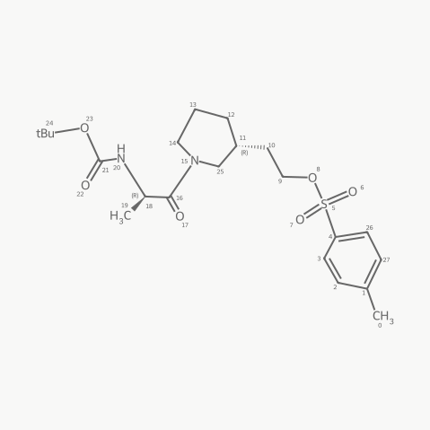 Cc1ccc(S(=O)(=O)OCC[C@H]2CCCN(C(=O)[C@@H](C)NC(=O)OC(C)(C)C)C2)cc1